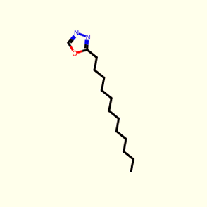 CCCCCCCCCCCCc1nnco1